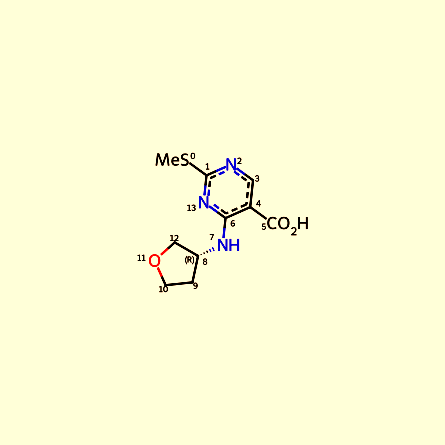 CSc1ncc(C(=O)O)c(N[C@@H]2CCOC2)n1